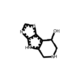 OC1CNCc2[nH]c3ncsc3c21